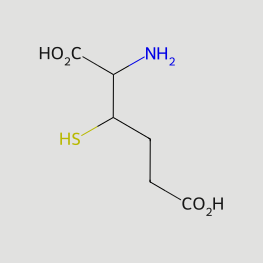 NC(C(=O)O)C(S)CCC(=O)O